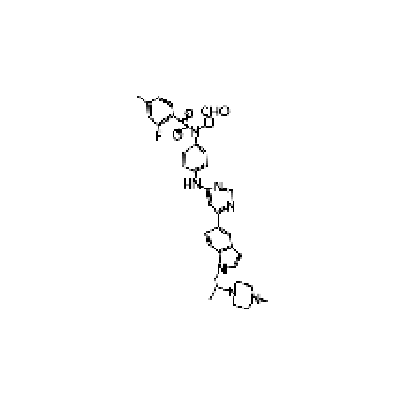 Cc1ccc(S(=O)(=O)N(OC=O)c2ccc(Nc3cc(-c4ccc5c(ccn5CC(C)N5CCN(C)CC5)c4)ncn3)cc2)c(F)c1